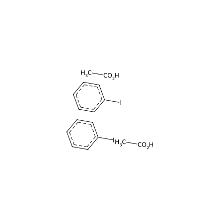 CC(=O)O.CC(=O)O.Ic1ccccc1.Ic1ccccc1